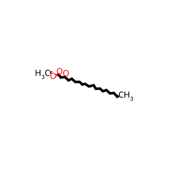 CCCCCCCCCCCCCCCCC(=O)CC(=O)OCC